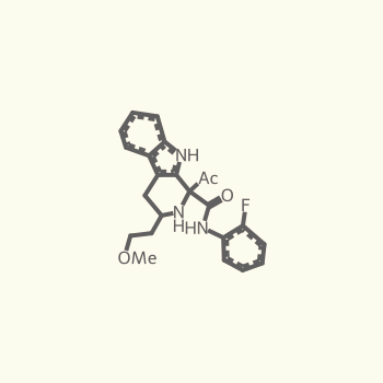 COCCC1Cc2c([nH]c3ccccc23)C(C(C)=O)(C(=O)Nc2ccccc2F)N1